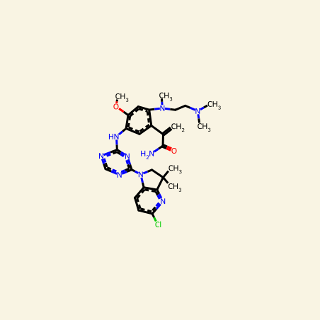 C=C(C(N)=O)c1cc(Nc2ncnc(N3CC(C)(C)c4nc(Cl)ccc43)n2)c(OC)cc1N(C)CCN(C)C